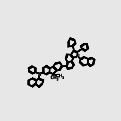 CC1(C)c2cc(-c3cccc4c3ccc3c(-c5ccccc5)c(-c5ccccc5)n(-c5ccc6ccccc6c5)c34)ccc2-c2ccc(N(c3ccccc3)c3cccc4ccccc34)cc21